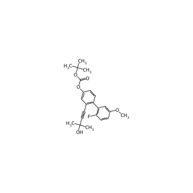 COc1ccc(F)c(-c2ccc(OC(=O)OC(C)(C)C)cc2C#CC(C)(C)O)c1